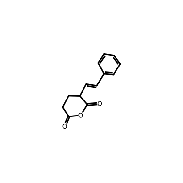 O=C1CCC(C=Cc2ccccc2)C(=O)O1